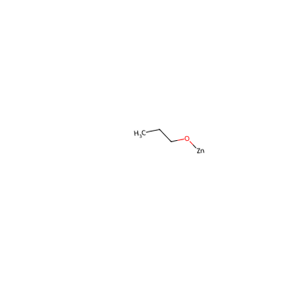 CCC[O][Zn]